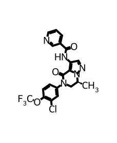 C[C@H]1CN(c2ccc(OC(F)(F)F)c(Cl)c2)C(=O)c2c(NC(=O)c3cccnc3)cnn21